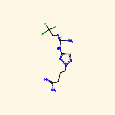 N=C(N)CCCn1ncc(N/C(N)=N\CC(F)(F)F)n1